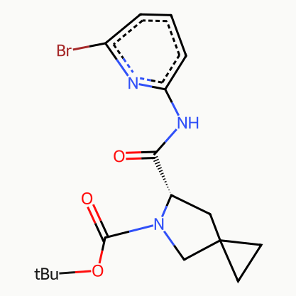 CC(C)(C)OC(=O)N1CC2(CC2)C[C@H]1C(=O)Nc1cccc(Br)n1